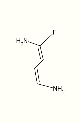 N/C=C\C=C(/N)F